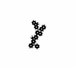 CC1(C)c2ccccc2-c2ccc(N(c3ccc4ccccc4c3)c3ccc(-c4ccc5c(c4)C(C)(C)c4cc6c7ccccc7n(-c7ccccc7)c6cc4-5)c4ccccc34)cc21